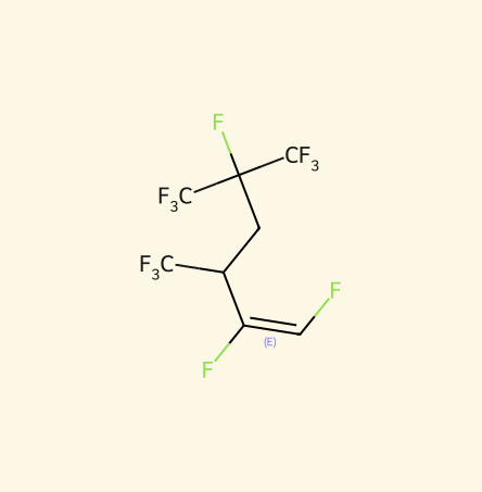 F/C=C(/F)C(CC(F)(C(F)(F)F)C(F)(F)F)C(F)(F)F